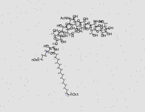 CCCCCCCC/C=C\CCCCCCCCCCCCCCCC(=O)N[C@@H](CO[C@@H]1OC(CO)[C@@H](O[C@@H]2OC(CO)[C@H](O)[C@H](O[C@@H]3OC(CO)[C@@H](O[C@@H]4OC(CO)[C@H](O)[C@H](O[C@H]5OC(CO)[C@@H](O[C@@H]6OC(CO)[C@H](O)[C@H](O)C6O)[C@H](O)C5NC(C)=O)C4O)[C@H](O)C3NC(C)=O)C2O)[C@H](O)C1O)[C@H](O)/C=C/CCCCCCCCCCCCC